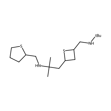 CC(C)(C)NCC1CC(CC(C)(C)NCC2CCCS2)S1